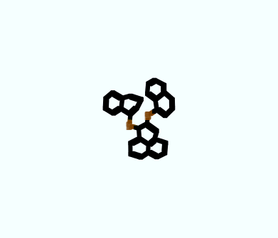 C1=C(Sc2cccc3ccccc23)C(Sc2cccc3ccccc23)c2cccc3cccc1c23